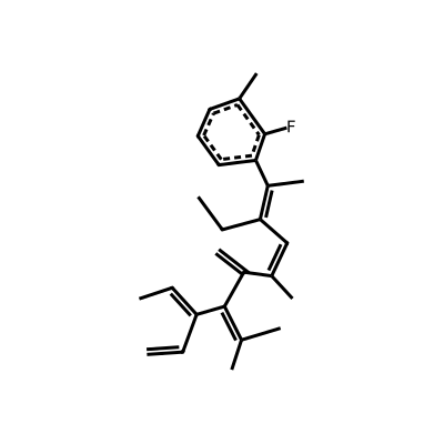 C=C/C(=C\C)C(C(=C)/C(C)=C\C(CC)=C(/C)c1cccc(C)c1F)=C(C)C